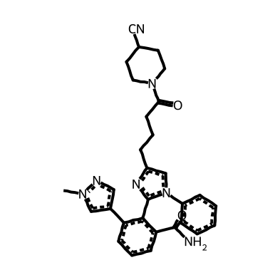 Cn1cc(-c2cccc(C(N)=O)c2-c2nc(CCCC(=O)N3CCC(C#N)CC3)cn2-c2ccccc2)cn1